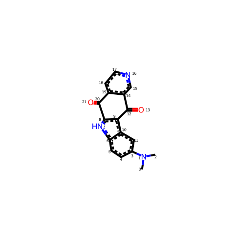 CN(C)c1ccc2[nH]c3c(c2c1)C(=O)c1cnccc1C3=O